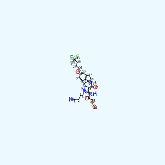 N#CCCCn1nc2c(c1NC(=O)C[S+]=O)C(=O)N[C@@]1(CCc3cc(OCCCC(F)(F)F)ccc31)C2